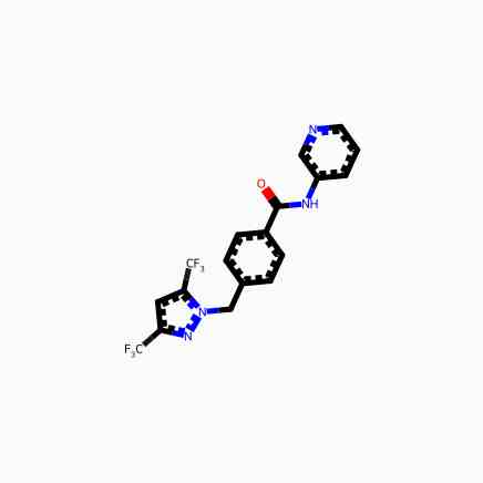 O=C(Nc1cccnc1)c1ccc(Cn2nc(C(F)(F)F)cc2C(F)(F)F)cc1